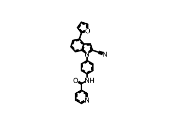 N#Cc1cc2c(-c3ccco3)cccc2n1-c1ccc(NC(=O)c2cccnc2)cc1